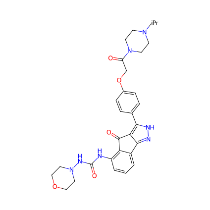 CC(C)N1CCN(C(=O)COc2ccc(-c3[nH]nc4c3C(=O)c3c(NC(=O)NN5CCOCC5)cccc3-4)cc2)CC1